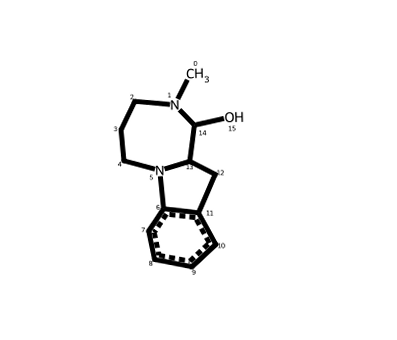 CN1CCCN2c3ccccc3CC2C1O